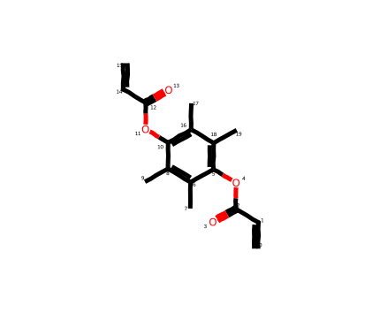 C=CC(=O)Oc1c(C)c(C)c(OC(=O)C=C)c(C)c1C